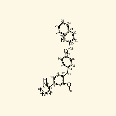 COc1cc(-c2nnn[nH]2)ccc1Cc1ccc(OCc2ccc3ccccc3n2)cc1